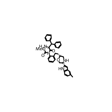 COC(=O)N(C(=O)[C@@H](N)C(c1ccccc1)c1ccccc1)c1ccccc1CC[C@@H]1CN[C@H](c2cc3cc(C)ccc3[nH]2)CO1